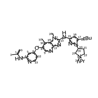 C=C(C)Nc1cc(Oc2cnc3nc(Nc4cc(C(C)(C)C)n([C@H]5CCN(CCC)C5)n4)n(C)c3c2C)ccn1